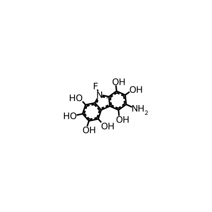 Nc1c(O)c(O)c2c(c1O)c1c(O)c(O)c(O)c(O)c1n2F